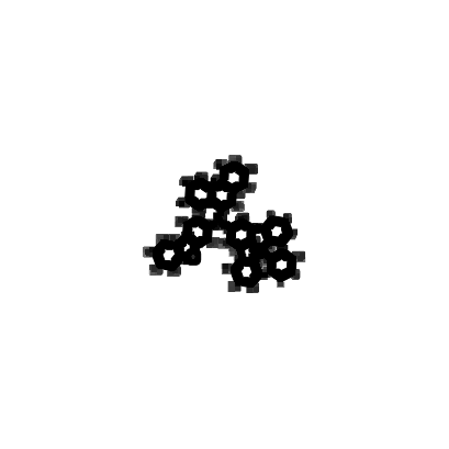 c1ccc([Si]2(c3ccccc3)c3ccccc3-c3cc(N(c4ccc5c(c4)oc4ccccc45)c4cc5ccccc5c5ccccc45)ccc32)cc1